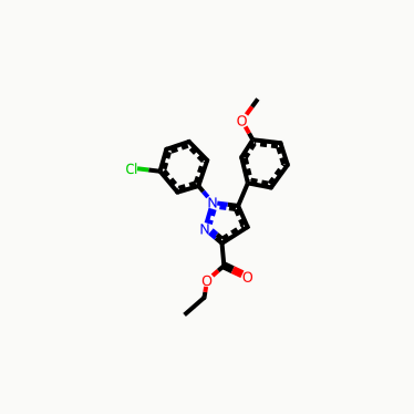 CCOC(=O)c1cc(-c2cccc(OC)c2)n(-c2cccc(Cl)c2)n1